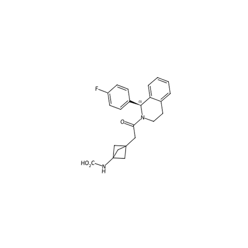 O=C(O)NC12CC(CC(=O)N3CCc4ccccc4[C@@H]3c3ccc(F)cc3)(C1)C2